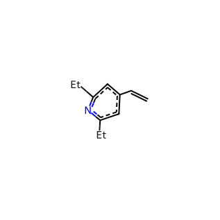 C=Cc1cc(CC)nc(CC)c1